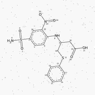 NS(=O)(=O)c1ccc(NC(CSc2ccccc2)CC(=O)O)c([N+](=O)[O-])c1